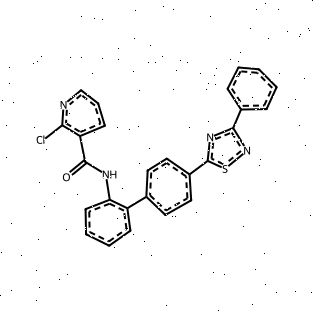 O=C(Nc1ccccc1-c1ccc(-c2nc(-c3ccccc3)ns2)cc1)c1cccnc1Cl